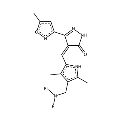 CCN(CC)Cc1c(C)[nH]c(C=C2C(=O)NN=C2c2cc(C)on2)c1C